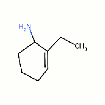 CCC1=CCCCC1N